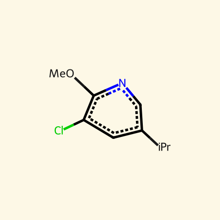 COc1ncc(C(C)C)cc1Cl